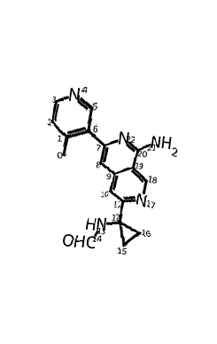 Cc1ccncc1-c1cc2cc(C3(NC=O)CC3)ncc2c(N)n1